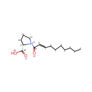 CCCCCCCC=CC(=O)N1CCC[C@H]1C(=O)O